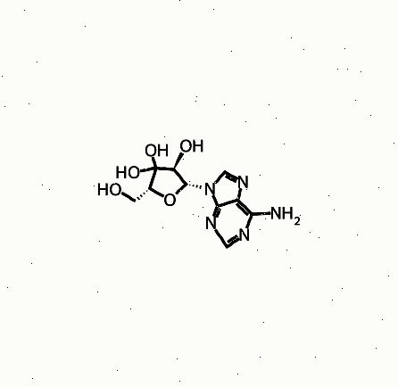 Nc1ncnc2c1ncn2[C@@H]1O[C@H](CO)C(O)(O)[C@H]1O